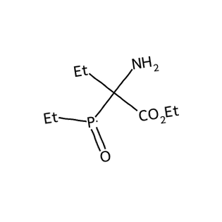 CCOC(=O)C(N)(CC)[P](=O)CC